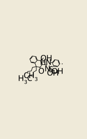 CCCCC1(CCCC)C(=O)C(C2=NS(O)(O)c3c[c]ccc3N2)=C(O)c2ccccc21